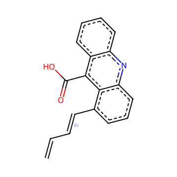 C=C/C=C/c1cccc2nc3ccccc3c(C(=O)O)c12